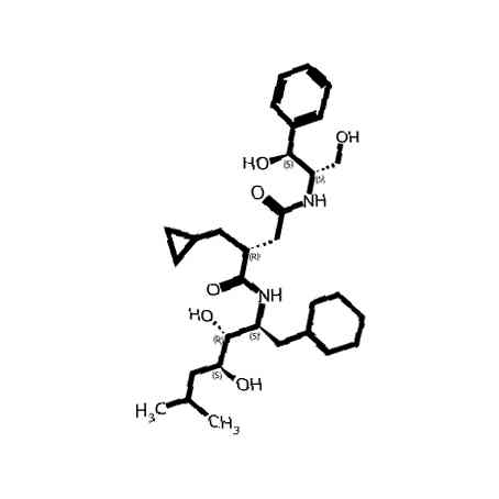 CC(C)C[C@H](O)[C@H](O)[C@H](CC1CCCCC1)NC(=O)[C@@H](CC(=O)N[C@@H](CO)[C@@H](O)c1ccccc1)CC1CC1